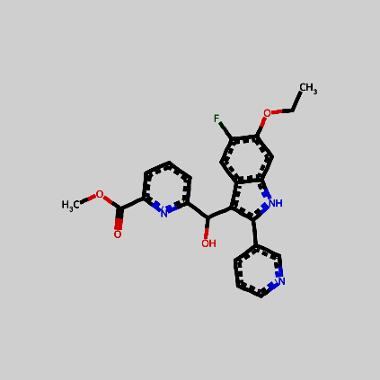 CCOc1cc2[nH]c(-c3cccnc3)c(C(O)c3cccc(C(=O)OC)n3)c2cc1F